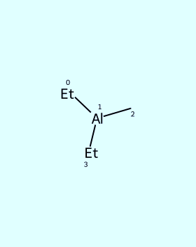 C[CH2][Al]([CH3])[CH2]C